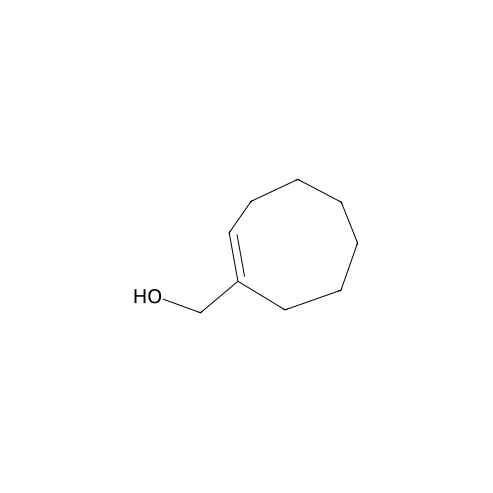 OCC1=CCCCCCC1